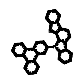 c1ccc2c(c1)sc1c2ccc2c3ccccc3n(-c3ccc4c5ccccc5c5ccccc5c4c3)c21